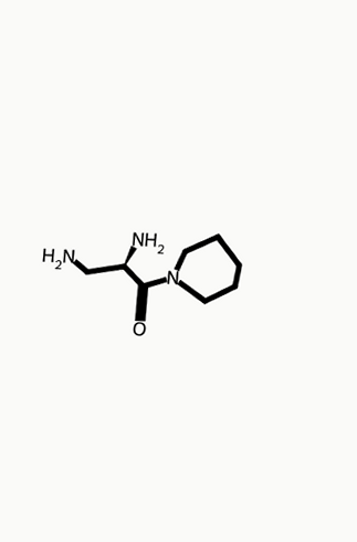 NC[C@@H](N)C(=O)N1CCCCC1